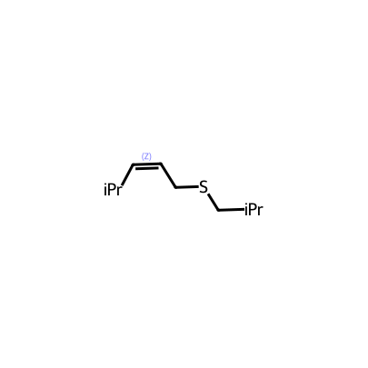 CC(C)/C=C\CSCC(C)C